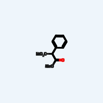 CCOC(=O)C(C(=O)OC)c1ccccc1